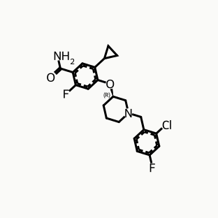 NC(=O)c1cc(C2CC2)c(O[C@@H]2CCCN(Cc3ccc(F)cc3Cl)C2)cc1F